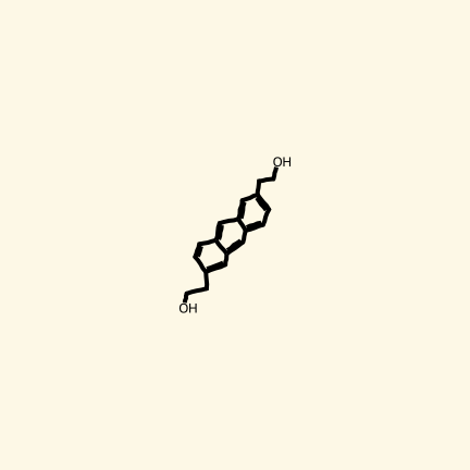 OCCc1ccc2cc3cc(CCO)ccc3cc2c1